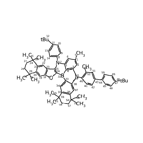 Cc1cc2c3c(c1)N(c1ccc(C(C)(C)C)cc1)c1c(oc4cc5c(cc14)C(C)(C)CCC5(C)C)B3c1cc3c(cc1N2c1ccc(-c2ccc(C(C)(C)C)cc2)cc1C)C(C)(C)CCC3(C)C